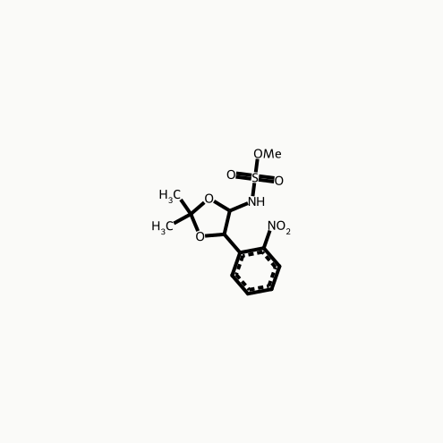 COS(=O)(=O)NC1OC(C)(C)OC1c1ccccc1[N+](=O)[O-]